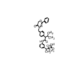 CC(C)C(C(=O)Nc1cccc(C(C)C(C)(C)C(=O)O)c1)c1ccc(CN2N=C(c3ccccc3)OCC2=O)cc1